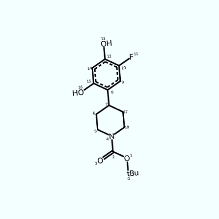 CC(C)(C)OC(=O)N1CCC(c2cc(F)c(O)cc2O)CC1